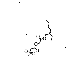 CCCCC(CC)COC(=O)COC(=O)CS(C)(=O)=O